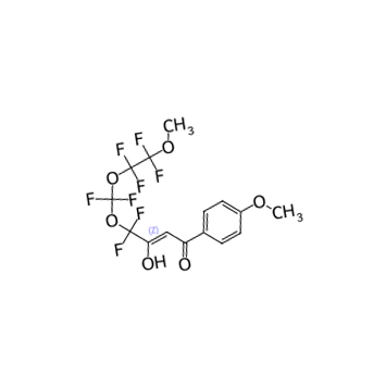 COc1ccc(C(=O)/C=C(\O)C(F)(F)OC(F)(F)OC(F)(F)C(F)(F)OC)cc1